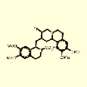 CCC1CN2CCc3cc(OC)c(OC)cc3C2CC1CC1c2cc(OC)c(OC)cc2CCN1C(=O)O